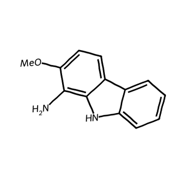 COc1ccc2c([nH]c3ccccc32)c1N